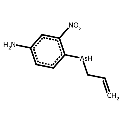 C=CC[AsH]c1ccc(N)cc1[N+](=O)[O-]